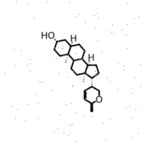 C=C1C=CC([C@H]2CC[C@@H]3C4CC[C@@H]5C[C@@H](O)CC[C@]5(C)C4CC[C@]23C)CO1